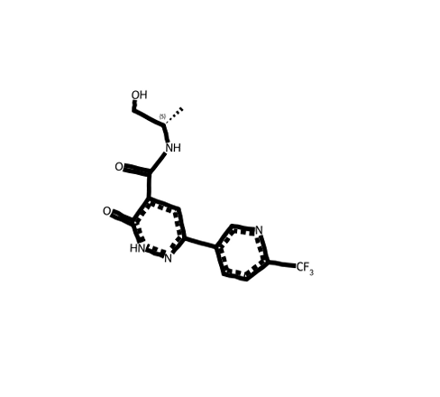 C[C@@H](CO)NC(=O)c1cc(-c2ccc(C(F)(F)F)nc2)n[nH]c1=O